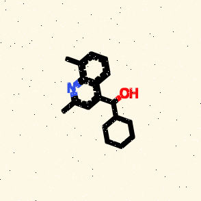 Cc1cc(C(O)C2CCCCC2)c2cccc(C)c2n1